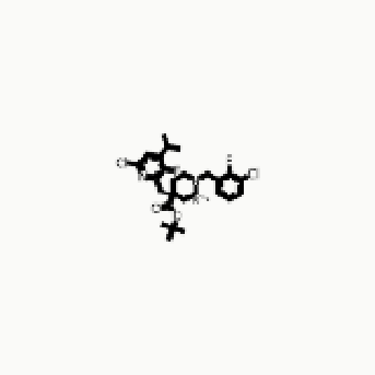 C=C(C)c1cc(Cl)nc(C[C@@]2(C(=O)OC(C)(C)C)CCN(Cc3cccc(Cl)c3F)[C@H](C)C2)c1F